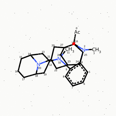 CC(=O)CN(C)c1ccccc1N(C)C1CC2CCCC(C1)N2C1CC2CCCC(C2)C1